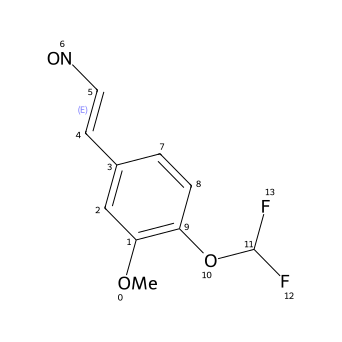 COc1cc(/C=C/N=O)ccc1OC(F)F